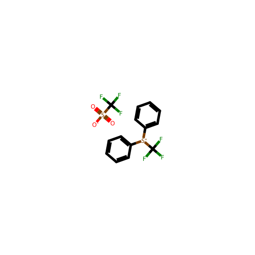 FC(F)(F)[S+](c1ccccc1)c1ccccc1.O=S(=O)([O-])C(F)(F)F